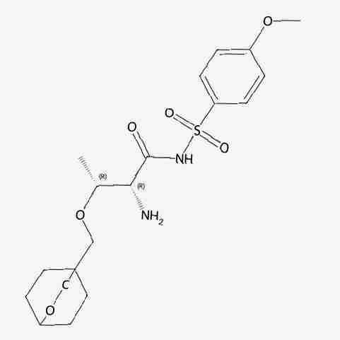 COc1ccc(S(=O)(=O)NC(=O)[C@H](N)[C@@H](C)OCC23CCC(CC2)OC3)cc1